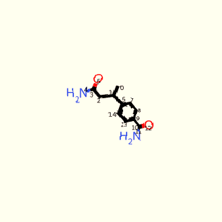 CC(CC(N)=O)c1ccc(C(N)=O)cc1